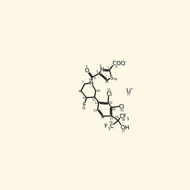 O=C([O-])c1nc(C(=O)N2CCC(F)C(c3ccc(C(O)(C(F)(F)F)C(F)(F)F)c(Cl)c3Cl)C2)cs1.[Li+]